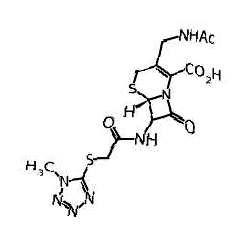 CC(=O)NCC1=C(C(=O)O)N2C(=O)C(NC(=O)CSc3nnnn3C)[C@@H]2SC1